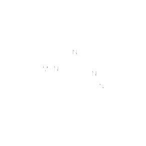 CNc1nccn2nccc12